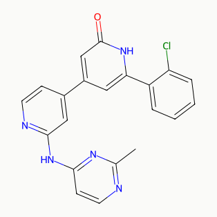 Cc1nccc(Nc2cc(-c3cc(-c4ccccc4Cl)[nH]c(=O)c3)ccn2)n1